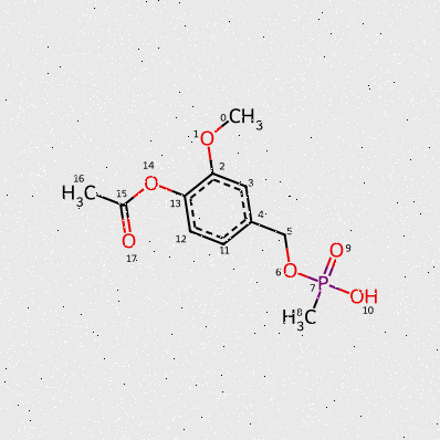 COc1cc(COP(C)(=O)O)ccc1OC(C)=O